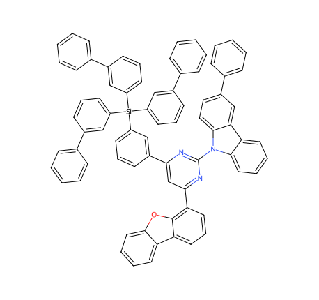 c1ccc(-c2cccc([Si](c3cccc(-c4ccccc4)c3)(c3cccc(-c4ccccc4)c3)c3cccc(-c4cc(-c5cccc6c5oc5ccccc56)nc(-n5c6ccccc6c6cc(-c7ccccc7)ccc65)n4)c3)c2)cc1